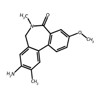 COc1ccc2c(c1)C(=O)N(C)Cc1cc(N)c(C)cc1-2